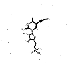 C=C1NC(=O)C(C#CC)=CN1C1OC(CCP(=C)(C)C)[C@@H](O)[C@H]1O